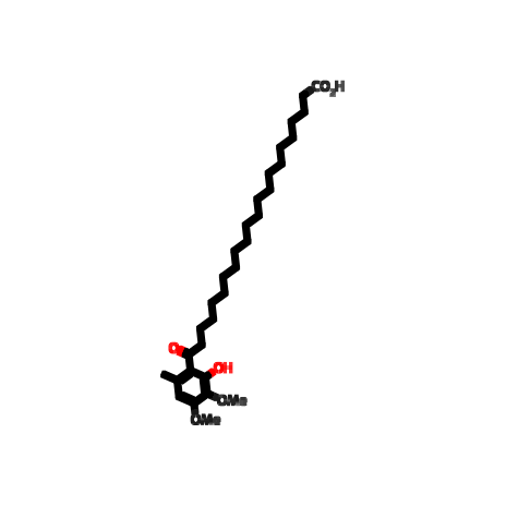 COc1cc(C)c(C(=O)CCCCCCCCCCCCCCCCCCCCC(=O)O)c(O)c1OC